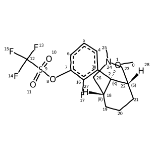 CO[C@@]1(c2cccc(OS(=O)(=O)C(F)(F)F)c2F)[C@@H]2CCC[C@H]1CN(C)C2